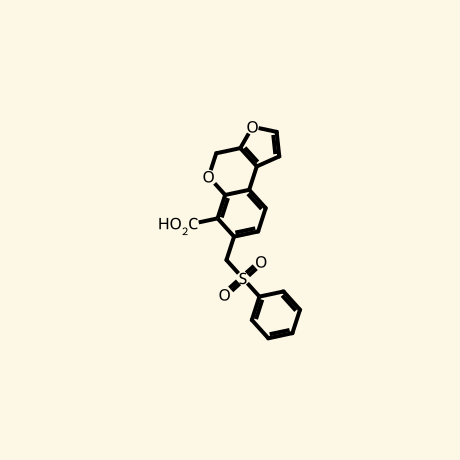 O=C(O)c1c(CS(=O)(=O)c2ccccc2)ccc2c1OCc1occc1-2